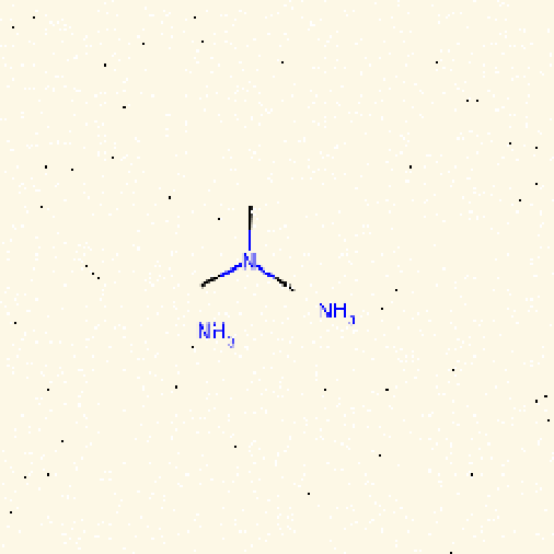 CN(C)C.N.N